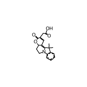 CC1(C)C2=C3C=C(CC(=O)O)C(=O)OC3CCN2c2ccccc21